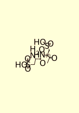 CC(=O)[C@H](CS(=O)(=O)O)NC(=O)C(N)CS(=O)(=O)O